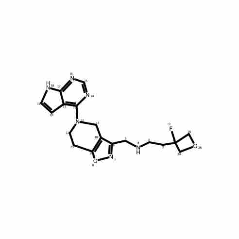 FC1(CCNCc2noc3c2CN(c2ncnc4[nH]ccc24)CC3)COC1